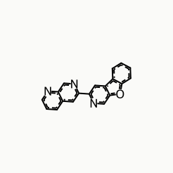 c1cnc2cnc(-c3cc4c(cn3)oc3ccccc34)cc2c1